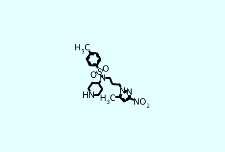 Cc1ccc(S(=O)(=O)N(CCCn2nc([N+](=O)[O-])cc2C)C2CCNCC2)cc1